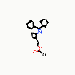 CCC(=O)OCCC1CCC1N=C(c1ccccc1)c1ccccc1